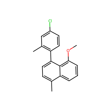 COc1cccc2c(C)ccc(-c3ccc(Cl)cc3C)c12